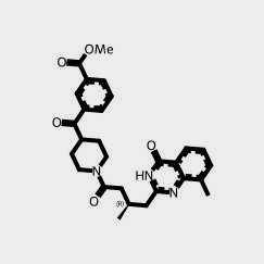 COC(=O)c1cccc(C(=O)C2CCN(C(=O)C[C@H](C)Cc3nc4c(C)cccc4c(=O)[nH]3)CC2)c1